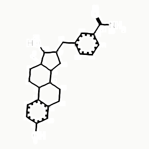 C[C@@]12CCC3c4ccc(O)cc4CCC3C1CC(Cc1cccc(C(N)=O)c1)C2O